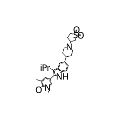 Cc1cc(-c2[nH]c3ccc(C4CCN(C5CCS(=O)(=O)C5)CC4)cc3c2C(C)C)cn(C)c1=O